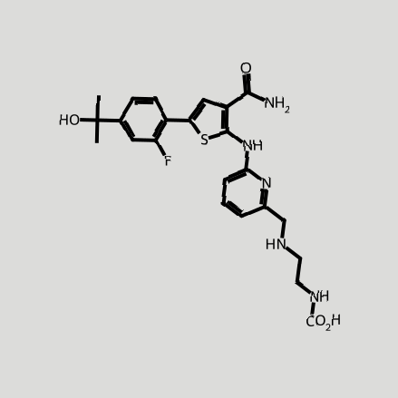 CC(C)(O)c1ccc(-c2cc(C(N)=O)c(Nc3cccc(CNCCNC(=O)O)n3)s2)c(F)c1